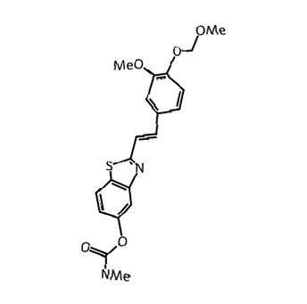 CNC(=O)Oc1ccc2sc(C=Cc3ccc(OCOC)c(OC)c3)nc2c1